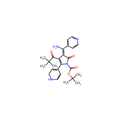 CC(C)(C)OC(=O)N1C(=O)/C(=C(/N)c2ccncc2)C(C(=O)C(C)(C)C)=C1C1=CCNC=C1